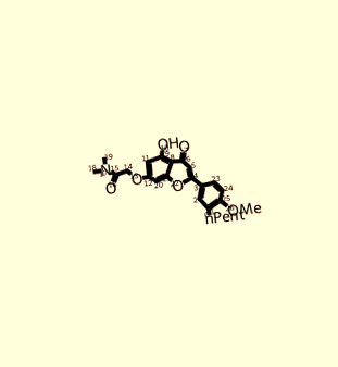 CCCCCc1cc(-c2cc(=O)c3c(O)cc(OCC(=O)N(C)C)cc3o2)ccc1OC